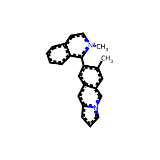 Cc1cc2cn3cccc3cc2cc1-c1c2ccccc2cc[n+]1C